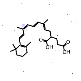 CC(C=C/C=C(/C)C=CC1=C(C)CCCC1(C)C)=CCC(CCC(=O)O)C(=O)O